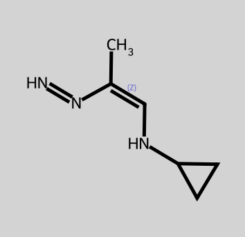 C/C(=C/NC1CC1)N=N